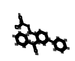 O=C(Cl)CSc1ccc(-c2ccccc2)cc1C(=O)c1ccccc1